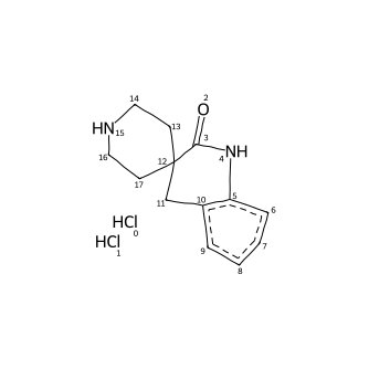 Cl.Cl.O=C1Nc2ccccc2CC12CCNCC2